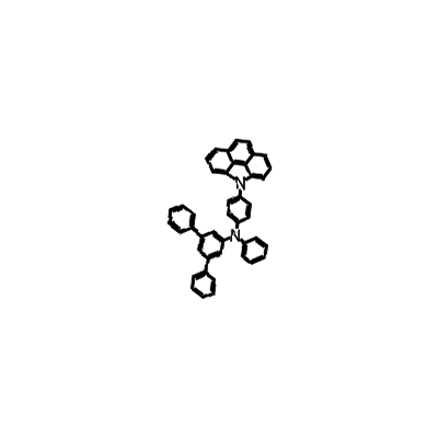 c1ccc(-c2cc(-c3ccccc3)cc(N(c3ccccc3)c3ccc(-n4c5cccc6ccc7cccc4c7c65)cc3)c2)cc1